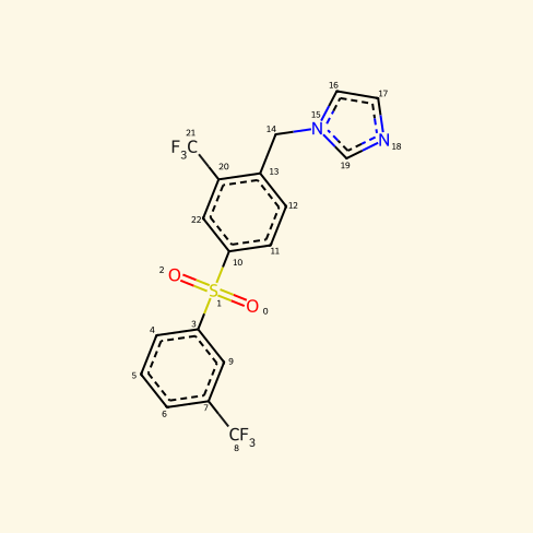 O=S(=O)(c1cccc(C(F)(F)F)c1)c1ccc(Cn2ccnc2)c(C(F)(F)F)c1